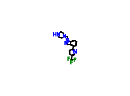 FC(F)(F)c1ccc(-c2cccc3c2cnn3CN2CCNCC2)nc1